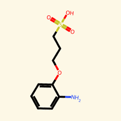 Nc1ccccc1OCCCS(=O)(=O)O